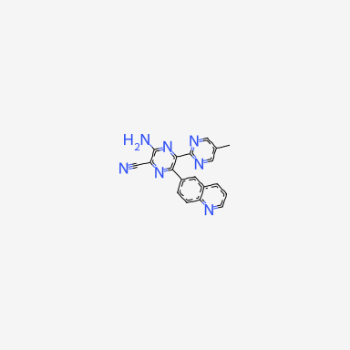 Cc1cnc(-c2nc(N)c(C#N)nc2-c2ccc3ncccc3c2)nc1